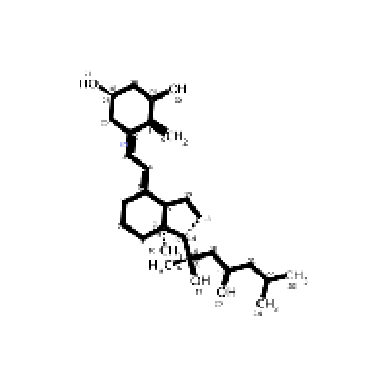 C=C1/C(=C\C=C2CCC[C@@]3(C)C2CC[C@@H]3[C@@](C)(O)CC(O)CC(C)C)C[C@@H](O)CC1O